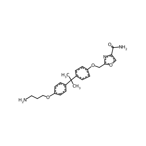 CC(C)(c1ccc(OCCCN)cc1)c1ccc(OCc2nc(C(N)=O)co2)cc1